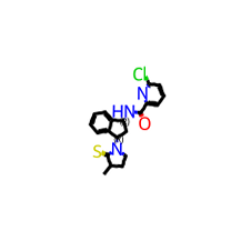 CC1CCN([C@@H]2C[C@@H](NC(=O)c3cccc(Cl)n3)c3ccccc32)C1=S